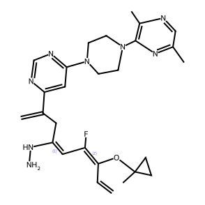 C=C/C(OC1(C)CC1)=C(F)\C=C(/CC(=C)c1cc(N2CCN(c3nc(C)cnc3C)CC2)ncn1)NN